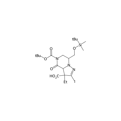 CCC1(C(=O)O)C(I)=NN2C(CO[Si](C)(C)C(C)(C)C)CN(C(=O)OC(C)(C)C)C(=O)C21